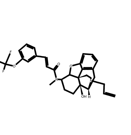 C=CCN1CC[C@]23c4c5cccc4OC2C(N(C)C(=O)/C=C/c2cccc(OC(F)(F)F)c2)CC[C@@]3(O)[C@H]1C5